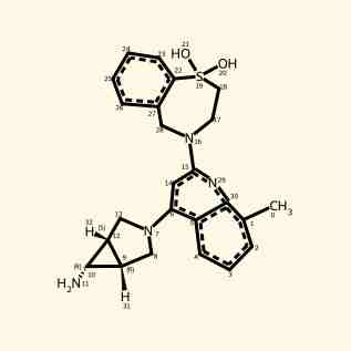 Cc1cccc2c(N3C[C@@H]4[C@H](N)[C@@H]4C3)cc(N3CCS(O)(O)c4ccccc4C3)nc12